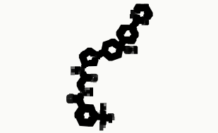 O=C(CNC(=O)c1cccc(C(F)(F)F)c1)N[C@@H]1CCN(C2CCC(O)(C3=CCC(c4ncccn4)C=C3)CC2)C1